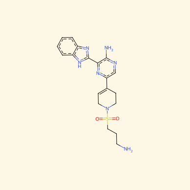 NCCCS(=O)(=O)N1CC=C(c2cnc(N)c(-c3nc4ccccc4[nH]3)n2)CC1